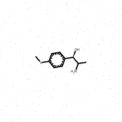 CSc1ccc([C@@H](O)C(C)N)cc1